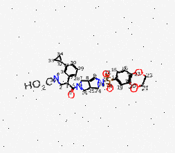 CN(CC(C(=O)N1CC2=CN(S(=O)(=O)c3ccc4c(c3)OCCO4)CC2C1)c1cccc(C2CC2)c1)C(=O)O